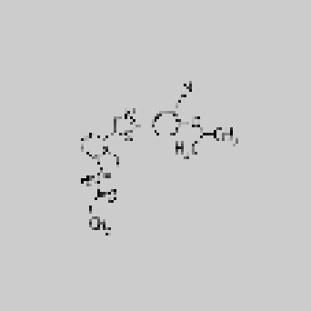 CCC(=O)N[C@@H]1CCc2c(-c3cnc(-c4ccc(OC(C)C)c(C#N)c4)s3)cccc21